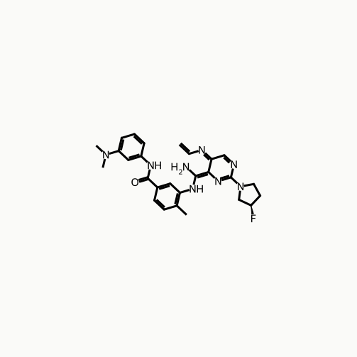 C=C/N=C1/C=NC(N2CC[C@@H](F)C2)=N/C1=C(/N)Nc1cc(C(=O)Nc2cccc(N(C)C)c2)ccc1C